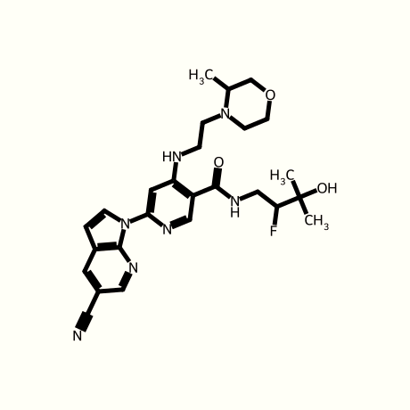 CC1COCCN1CCNc1cc(-n2ccc3cc(C#N)cnc32)ncc1C(=O)NCC(F)C(C)(C)O